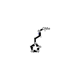 CO/N=C/Cn1[c]nnn1